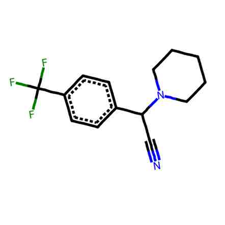 N#CC(c1ccc(C(F)(F)F)cc1)N1CCCCC1